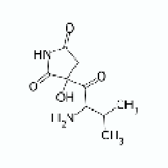 CC(C)C(N)C(=O)C1(O)CC(=O)NC1=O